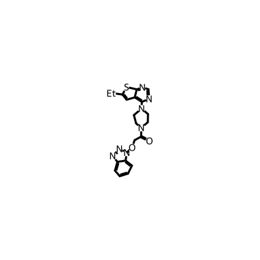 CCc1cc2c(N3CCN(C(=O)COn4nnc5ccccc54)CC3)ncnc2s1